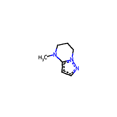 CN1CCCn2nccc21